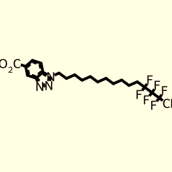 O=C(O)c1ccc2c(c1)nnn2CCCCCCCCCCCC(F)(F)C(F)(F)C(F)(F)C(F)(F)F